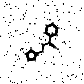 O=C(OCn1cccn1)c1ccccc1